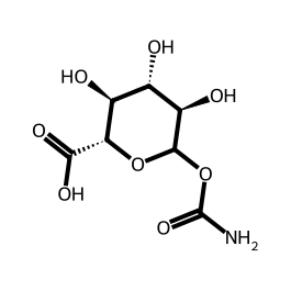 NC(=O)OC1O[C@H](C(=O)O)[C@@H](O)[C@H](O)[C@H]1O